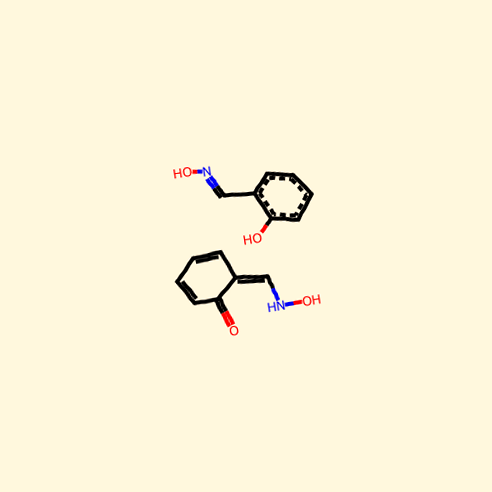 O=C1C=CC=CC1=CNO.ON=Cc1ccccc1O